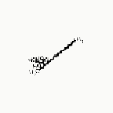 CCC=CCC=CCC=CCC=CCC=CCC=C(CCCC)C(C(=O)O)[C@H](O)CCO